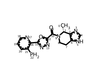 C[C@@H]1c2nc[nH]c2CCN1C(=O)c1nnc(-c2ncccc2P)o1